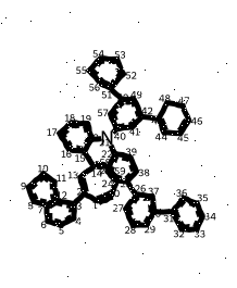 C1#CC(c2cccc3ccccc23)=CC(c2ccccc2N(c2ccc(-c3cccc(-c4ccccc4)c3)cc2)c2cc(C3=CC=CCC3)cc(-c3ccccc3)c2)=CC1